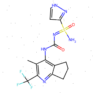 Cc1c(C(F)(F)F)nc2c(c1NC(=O)N=S(N)(=O)c1cc[nH]n1)CCC2